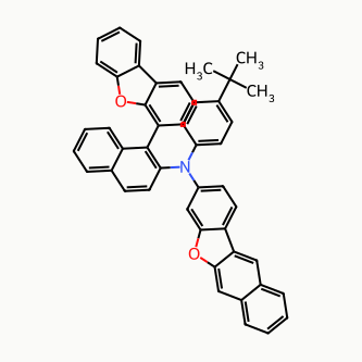 CC(C)(C)c1ccc(N(c2ccc3c(c2)oc2cc4ccccc4cc23)c2ccc3ccccc3c2-c2cccc3c2oc2ccccc23)cc1